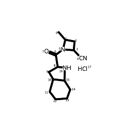 CC1CC(C#N)N1C(=O)C1CC2CCCCC2N1.Cl